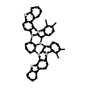 Cc1ccc2c3c4n(c5c6oc7ccccc7c6ccc5n4c2c1C)-c1cccc2c1B3c1c3ccc(C)c(C)c3n3c4c5c(ccc4n-2c13)oc1ccccc15